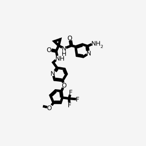 COc1ccc(Oc2ccc(CNC(=O)C3(NC(=O)c4ccnc(N)c4)CC3)nc2)c(C(F)(F)F)c1